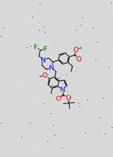 CCc1cc(C2CN(CC(F)F)CCN2Cc2c(OC)cc(C)c3c2ccn3C(=O)OC(C)(C)C)ccc1C(=O)OC